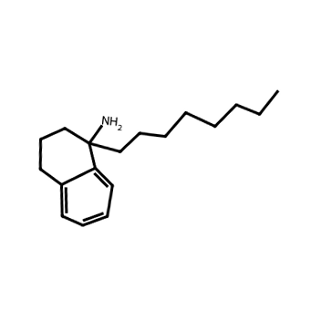 CCCCCCCCC1(N)CCCc2ccccc21